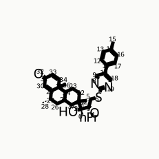 CCC[C@](O)(C(=O)CSc1ncc(-c2ccc(C)cc2)cn1)C1(C)CCC2C(C[C@H](C)C3=CC(=O)C=CC32C)C1